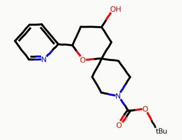 CC(C)(C)OC(=O)N1CCC2(CC1)CC(O)CC(c1ccccn1)O2